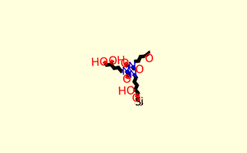 C[Si](C)(C)OCC(O)CCCn1c(=O)n(CCCC(O)CO)c(=O)n(CCCC2CO2)c1=O